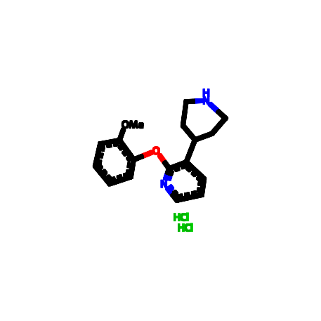 COc1ccccc1Oc1ncccc1C1CCNCC1.Cl.Cl